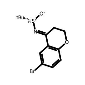 CC(C)(C)[S@+]([O-])N=C1CCOc2ccc(Br)cc21